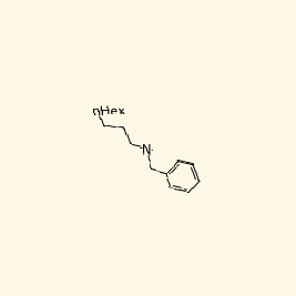 CCCCCCCCC[N]Cc1ccccc1